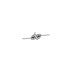 CCCCCCCCCCOC(=O)Oc1c2ccccc2c(OC(=O)OCCCCCCCCCC)c2cc(CC)ccc12